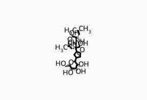 CC(C)C[C@H](NN[C@@](CC(C)C)(C(=O)O)C12CCC(C3O[C@H](CO)[C@H](O)[C@H](O)[C@H]3O)(C1)S2)C(=O)O